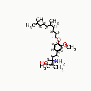 COc1cc(CCC(N)(CO)C(C)C)ccc1OCCCCC(C)CCCC(C)C